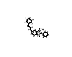 Cn1c(-c2ccccc2)nc2c1CN(C/C=C/c1ccccc1)CC2